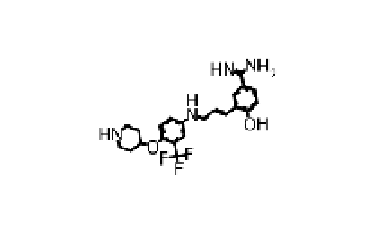 N=C(N)c1ccc(O)c(C=CCNc2ccc(OC3CCNCC3)c(C(F)(F)F)c2)c1